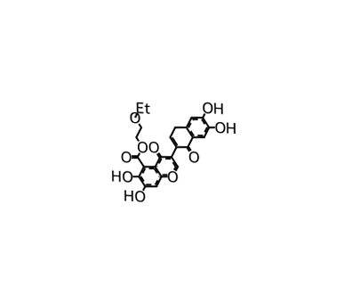 CCOCCOC(=O)c1c(O)c(O)cc2occ(C3=CCc4cc(O)c(O)cc4C3=O)c(=O)c12